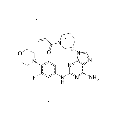 C=CC(=O)N1CCC[C@H](n2cnc3c(N)nc(Nc4ccc(N5CCOCC5)c(F)c4)nc32)C1